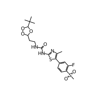 Cc1nc(NC(=O)NCCC2OOC(C(C)(C)C)O2)sc1-c1ccc(S(C)(=O)=O)c(F)c1